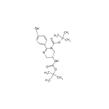 CC(C)(C)OC(=O)NC1CN=C(c2ccc(O)cc2)N(C(=O)OC(C)(C)C)C1